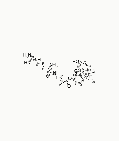 Cc1ccc(OC(=O)N(C)CCNC(=O)[C@@H](N)CCCNC(=N)N)c2c1[C@]13CC[C@@H](C)[C@H](C)C1C=CC(O)[C@@H]3O2